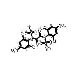 O=C(C(=O)N(c1c(Cl)cc([N+](=O)[O-])cc1Cl)S(=O)(=O)C(F)(F)F)N(c1c(Cl)cc([N+](=O)[O-])cc1Cl)S(=O)(=O)C(F)(F)F